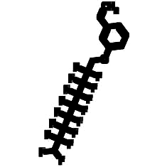 C=Cc1cccc(OCC(F)(F)C(F)(F)C(F)(F)C(F)(F)C(F)(F)C(F)(F)C(F)(F)C(F)F)c1